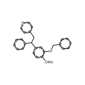 COc1ccc(C(Cc2ccncc2)c2ccccc2)cc1OCc1ccccc1